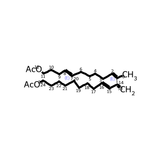 C/C=C/CCCC/C=C/CCCOC(C)=O.C=CC=CCCCCCCCCOC(C)=O